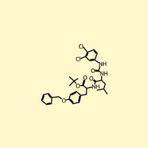 CC(C)CC(NC(=O)Nc1ccc(Cl)c(Cl)c1)C(=O)NC(Cc1ccc(OCc2ccccc2)cc1)C(=O)OC(C)(C)C